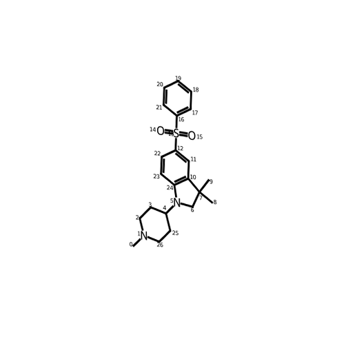 CN1CCC(N2CC(C)(C)c3cc(S(=O)(=O)c4ccccc4)ccc32)CC1